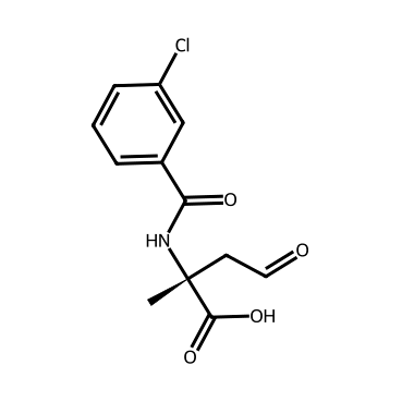 C[C@](CC=O)(NC(=O)c1cccc(Cl)c1)C(=O)O